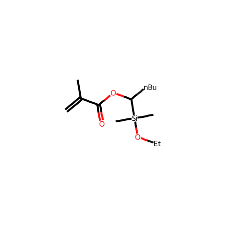 C=C(C)C(=O)OC(CCCC)[Si](C)(C)OCC